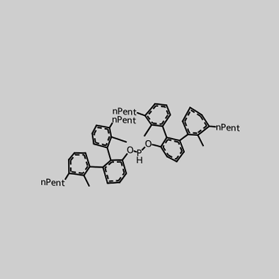 CCCCCc1cccc(-c2cccc(OPOc3cccc(-c4cccc(CCCCC)c4C)c3-c3cccc(CCCCC)c3C)c2-c2cccc(CCCCC)c2C)c1C